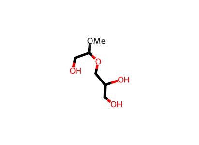 COC(CO)OCC(O)CO